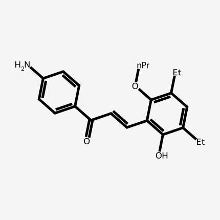 CCCOc1c(CC)cc(CC)c(O)c1/C=C/C(=O)c1ccc(N)cc1